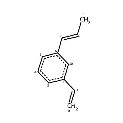 C=Cc1cccc(C=CC)c1